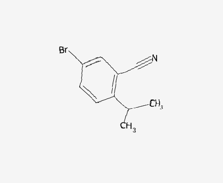 CC(C)c1ccc(Br)cc1C#N